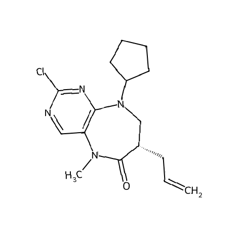 C=CC[C@H]1CN(C2CCCC2)c2nc(Cl)ncc2N(C)C1=O